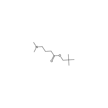 CN(C)CCCC(=O)OCC(C)(C)C